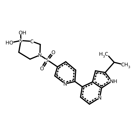 CC(C)c1cc2c(-c3ccc(S(=O)(=O)N4CCS(O)(O)CC4)cn3)ccnc2[nH]1